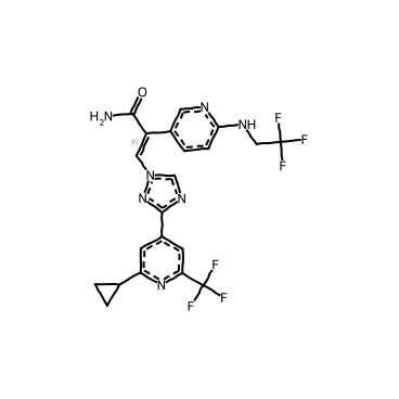 NC(=O)/C(=C/n1cnc(-c2cc(C3CC3)nc(C(F)(F)F)c2)n1)c1ccc(NCC(F)(F)F)nc1